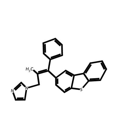 CC(Cn1ccnc1)=C(c1ccccc1)c1ccc2sc3ccccc3c2c1